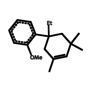 CCC1(c2ccccc2OC)CC(C)=CC(C)(C)C1